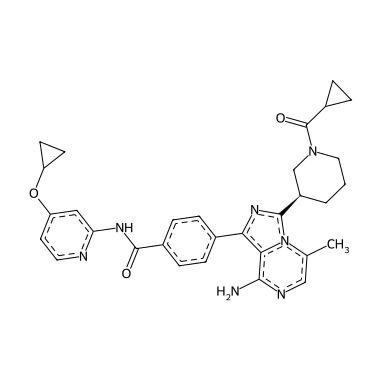 Cc1cnc(N)c2c(-c3ccc(C(=O)Nc4cc(OC5CC5)ccn4)cc3)nc([C@@H]3CCCN(C(=O)C4CC4)C3)n12